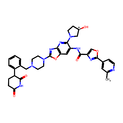 Cc1cc(-c2nc(C(=O)Nc3cc4oc(N5CCN(Cc6ccccc6C6CCC(=O)NC6=O)CC5)nc4nc3N3CC[C@@H](O)C3)co2)ccn1